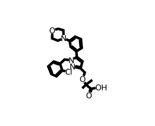 CC(C)(OCc1cc(-c2cccc(N3CCOCC3)c2)n(Cc2ccccc2Cl)n1)C(=O)O